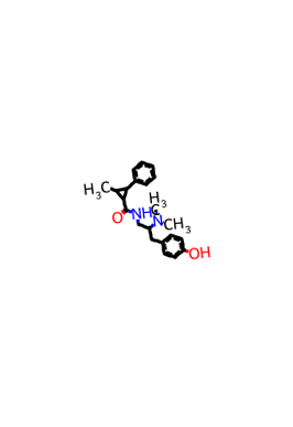 CC1C(C(=O)NCC(Cc2ccc(O)cc2)N(C)C)C1c1ccccc1